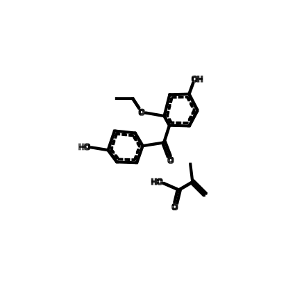 C=C(C)C(=O)O.CCOc1cc(O)ccc1C(=O)c1ccc(O)cc1